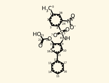 Cc1ccc(S(=O)(=O)Nc2cc(-c3ccccc3)sc2OC(=O)O)c([N+](=O)[O-])c1